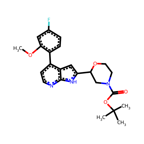 COc1cc(F)ccc1-c1ccnc2[nH]c(C3CN(C(=O)OC(C)(C)C)CCO3)cc12